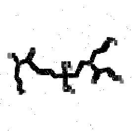 C=CCN(CCC(C)(C)CC=CC(=O)N(CC)CCC(C)C)C(=O)C=C